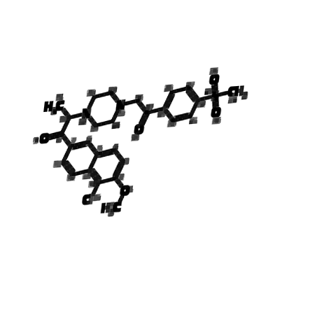 COc1ccc2cc(C(=O)C(C)N3CCN(CC(=O)c4ccc(S(C)(=O)=O)cc4)CC3)ccc2c1Cl